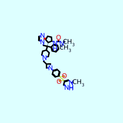 CN/C=C(\C=N)S(=O)(=O)c1ccc(N2CC(CN3CCC(C(Cn4ccnc4)(c4ccccc4)[C@@H]4CCC[C@H]4NC(=O)N(C)C)CC3)C2)cc1